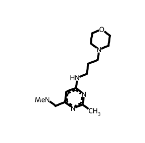 CNCc1cc(NCCCN2CCOCC2)nc(C)n1